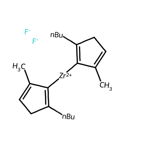 CCCCC1=[C]([Zr+2][C]2=C(CCCC)CC=C2C)C(C)=CC1.[F-].[F-]